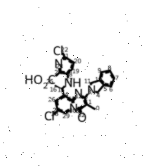 Cc1c(N2Cc3ccccc3C2)nc2c([C@@H](C)Nc3ccc(Cl)nc3C(=O)O)cc(Cl)cn2c1=O